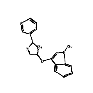 CC(C)(C)n1cc(OC2CSC(c3cccnc3)N2)c2ccccc21